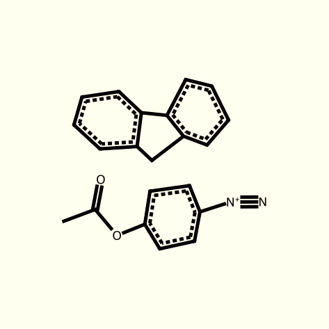 CC(=O)Oc1ccc([N+]#N)cc1.c1ccc2c(c1)Cc1ccccc1-2